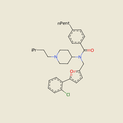 CCCCCc1ccc(C(=O)N(Cc2ccc(-c3ccccc3Cl)o2)C2CCN(CCC(C)C)CC2)cc1